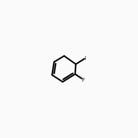 FC1=CC=CCC1I